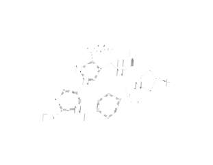 COc1nn(-c2cnc(C(F)(F)F)nc2)cc1CNC(=O)[C@@H]1C[C@@H](F)CN1S(=O)(=O)c1ccc(F)cc1